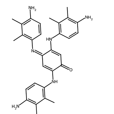 Cc1c(N)ccc(N=C2C=C(Nc3ccc(N)c(C)c3C)C(=O)C=C2Nc2ccc(N)c(C)c2C)c1C